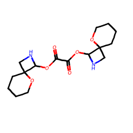 O=C(OC1NCC12CCCCO2)C(=O)OC1NCC12CCCCO2